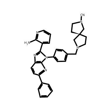 N#CN1CC[C@]2(CCN(Cc3ccc(-n4c(-c5cccnc5N)nc5ccc(-c6ccccc6)nc54)cc3)C2)C1